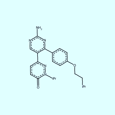 CC(C)CCOc1ccc(-c2nc(N)ncc2-c2ccc(=O)n(C(C)C)n2)cc1